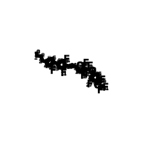 CCCCc1ccc(-c2cc(F)c(C#Cc3cc(F)c(C(F)(F)Oc4cc(F)c(OC(F)(F)F)c(F)c4)c(F)c3)c(F)c2)c(F)c1